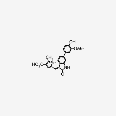 COc1cc(-c2ccc3c(c2)NC(=O)C3=Cc2cc(C(=O)O)c(C)[se]2)ccc1O